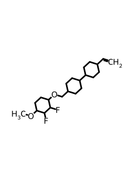 C=CC1CCC(C2CCC(COC3CCC(OC)C(F)C3F)CC2)CC1